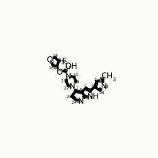 Cn1cc(-c2cc3c(N4CCN(C(O)O[C@H]5COC[C@@H]5F)CC4)ccnc3[nH]2)cn1